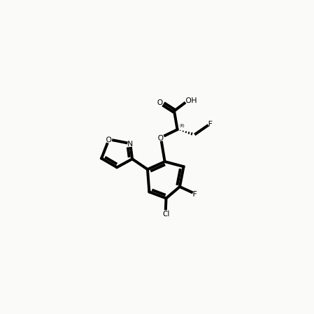 O=C(O)[C@H](CF)Oc1cc(F)c(Cl)cc1-c1ccon1